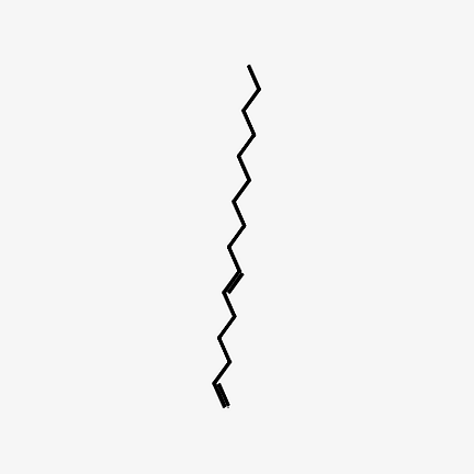 [CH]=CCCCC=CCCCCCCCCC